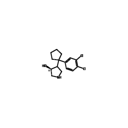 O[C@@H]1CNCC1C1(c2ccc(Cl)c(Cl)c2)CCCC1